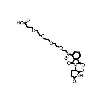 O=C(O)CCOCCOCCOCCOCC[S+]([O-])c1cccc2c1C(=O)N(C1CCC(=O)NC1=O)C2=O